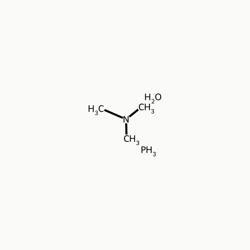 CN(C)C.O.P